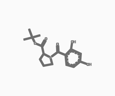 CC(C)(C)OC(=O)C1CCCN1C(=O)c1ccc(O)cc1O